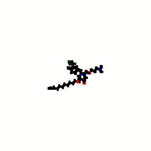 CCCCCCCCCCCCCCCCCCOc1cn(Cc2ccc(C)cc2)c(COCCCN(C)C)cc1=O.Cl.Cl